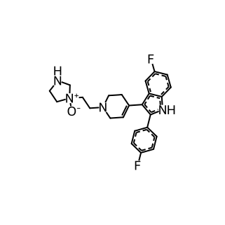 [O-][N+]1(CCN2CC=C(c3c(-c4ccc(F)cc4)[nH]c4ccc(F)cc34)CC2)CCNC1